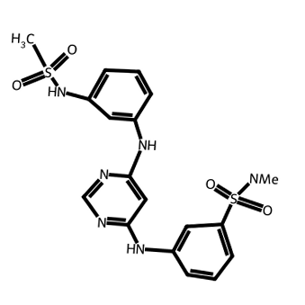 CNS(=O)(=O)c1cccc(Nc2cc(Nc3cccc(NS(C)(=O)=O)c3)ncn2)c1